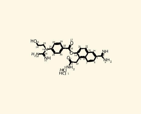 Cl.Cl.N=C(N)c1ccc2c(CC(N)=O)c(OC(=O)c3ccc(N(CCO)C(=N)N)cc3)ccc2c1